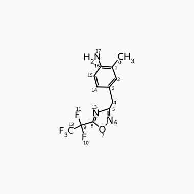 Cc1cc(Cc2noc(C(F)(F)C(F)(F)F)n2)ccc1N